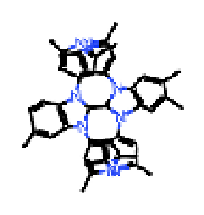 Cc1ccc2c(c1)N(c1cc(C)nc(C)c1)C(C1N(c3cc(C)nc(C)c3)c3cc(C)c(C)cc3N1c1cc(C)nc(C)c1)N2c1cc(C)nc(C)c1